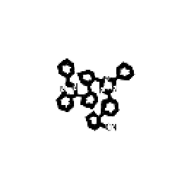 N#Cc1ccccc1-c1cccc(-c2nc(-c3ccccc3)nc(-c3ccccc3-c3ccccc3-c3nc(-c4ccccc4)nc4ccccc34)n2)c1